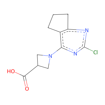 O=C(O)C1CN(c2nc(Cl)nc3c2CCC3)C1